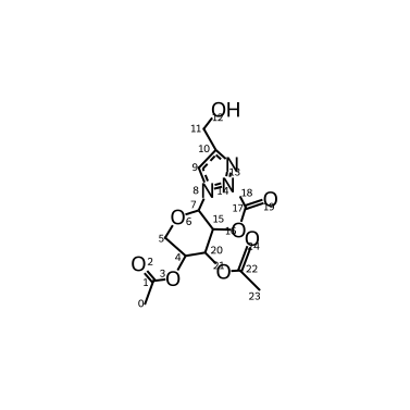 CC(=O)OC1COC(n2cc(CO)nn2)C(OC(C)=O)C1OC(C)=O